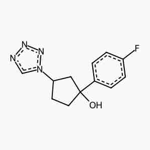 OC1(c2ccc(F)cc2)CCC(n2cnnn2)C1